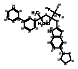 CC(C)(CC(O)(Cc1cc2cc(N3CCCC3)ncc2[nH]1)C(F)(F)F)c1cccc(-c2cncnc2)c1